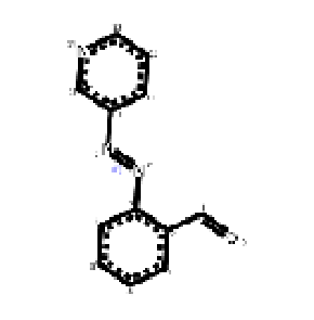 O=Cc1ccccc1/N=N/c1cccnc1